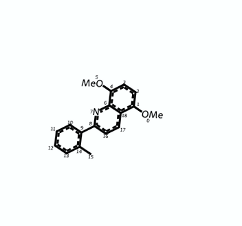 COc1ccc(OC)c2nc(-c3ccccc3C)ccc12